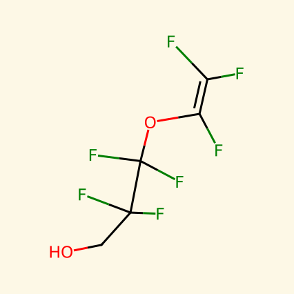 OCC(F)(F)C(F)(F)OC(F)=C(F)F